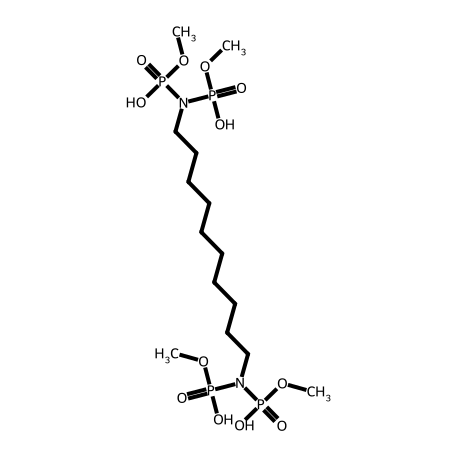 COP(=O)(O)N(CCCCCCCCCCN(P(=O)(O)OC)P(=O)(O)OC)P(=O)(O)OC